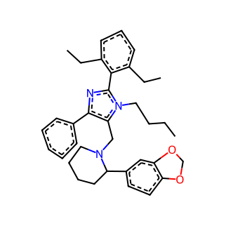 CCCCn1c(-c2c(CC)cccc2CC)nc(-c2ccccc2)c1CN1CCCCC1c1ccc2c(c1)OCO2